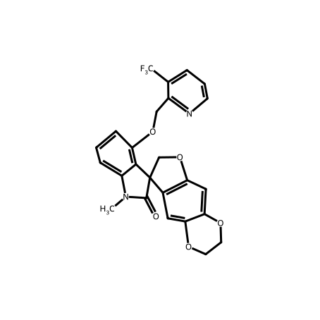 CN1C(=O)C2(COc3cc4c(cc32)OCCO4)c2c(OCc3ncccc3C(F)(F)F)cccc21